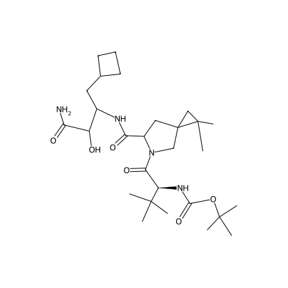 CC(C)(C)OC(=O)N[C@H](C(=O)N1CC2(CC1C(=O)NC(CC1CCC1)C(O)C(N)=O)CC2(C)C)C(C)(C)C